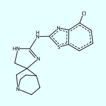 Clc1cccc2sc(NC3=NC4(CN3)CN3CCC4CC3)nc12